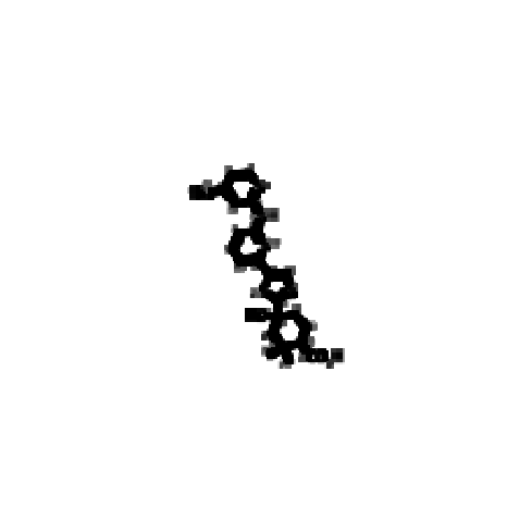 CC(C)(C)c1ccnc(Nc2cccc(-c3cnc(C4(O)CCC(C(=O)O)C(C)(C)C4)s3)n2)c1